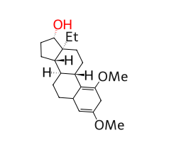 CC[C@]12CC[C@@H]3C4=C(OC)CC(OC)=CC4CC[C@H]3[C@@H]1CC[C@@H]2O